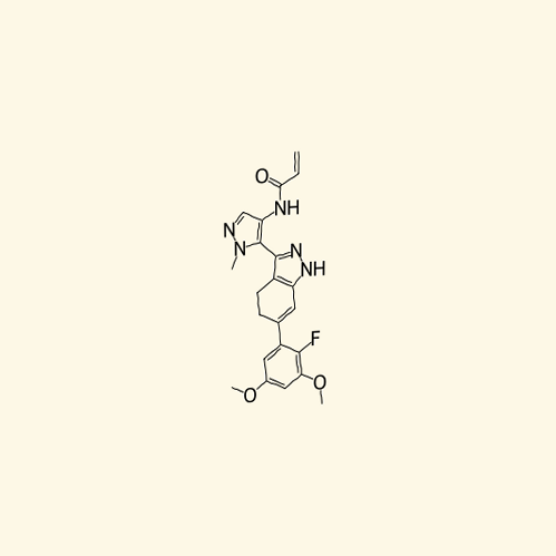 C=CC(=O)Nc1cnn(C)c1-c1n[nH]c2c1CCC(c1cc(OC)cc(OC)c1F)=C2